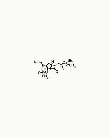 CC(C)(C)[Si](C)(C)OCC[C@@H]1C(=O)N2C(OP(C)(C)=O)=C(SCC#N)C[C@H]12